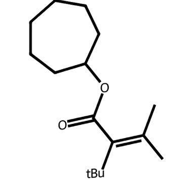 CC(C)=C(C(=O)OC1CCCCCC1)C(C)(C)C